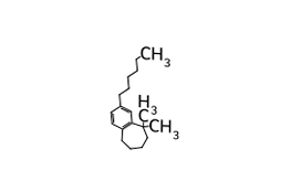 CCCCCCc1ccc2c(c1)C(C)(C)CCCC2